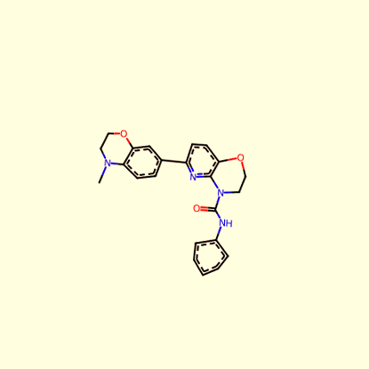 CN1CCOc2cc(-c3ccc4c(n3)N(C(=O)Nc3ccccc3)CCO4)ccc21